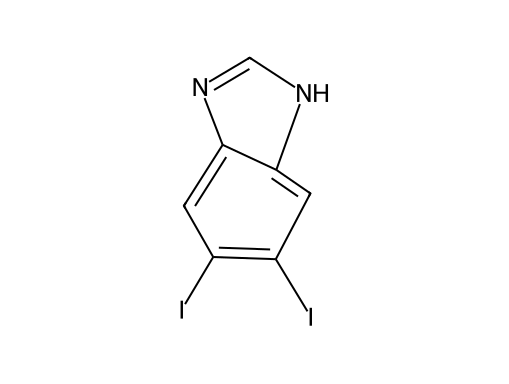 Ic1cc2nc[nH]c2cc1I